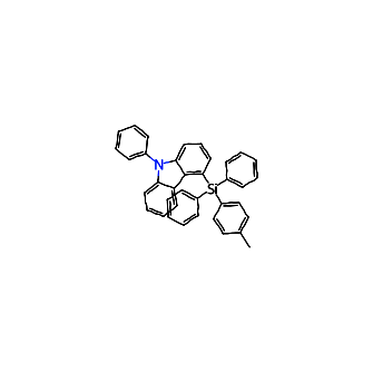 Cc1ccc([Si](c2ccccc2)(c2ccccc2)c2cccc3c2c2ccccc2n3-c2ccccc2)cc1